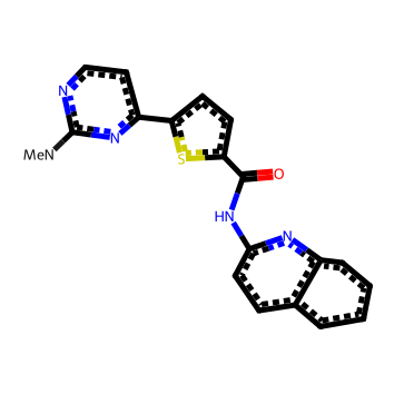 CNc1nccc(-c2ccc(C(=O)Nc3ccc4ccccc4n3)s2)n1